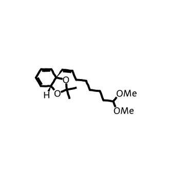 COC(CCCCC/C=C\[C@]12C=CC=C[C@H]1OC(C)(C)O2)OC